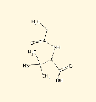 CCC(=O)NC(C(=O)O)C(C)(C)S